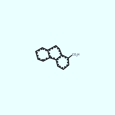 O=C(O)c1cccc2c1c[c]c1ccccc12